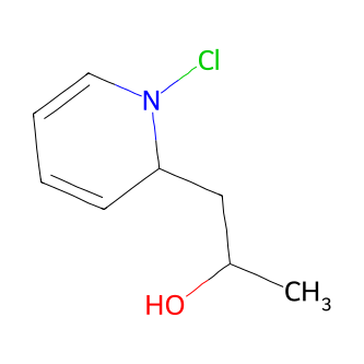 CC(O)CC1C=CC=CN1Cl